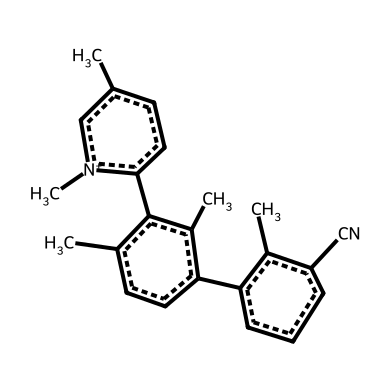 Cc1ccc(-c2c(C)ccc(-c3cccc(C#N)c3C)c2C)[n+](C)c1